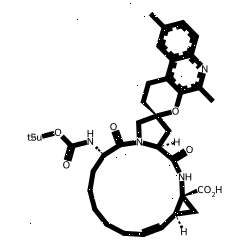 Cc1ccc2nc(C)c3c(c2c1)CC[C@]1(C[C@H]2C(=O)N[C@]4(C(=O)O)C[C@H]4/C=C\CCCCC[C@H](NC(=O)OC(C)(C)C)C(=O)N2C1)O3